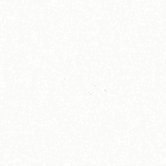 Clc1ccc(/C(=C/n2cncn2)OCc2ccccc2)c(Cl)c1